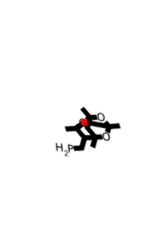 CC12CC3(C)OC(C)(CC(C)(O1)C3CP)O2